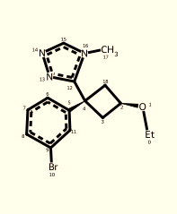 CCO[C@H]1C[C@](c2cccc(Br)c2)(c2nncn2C)C1